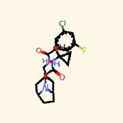 CC1(NC(=O)CN2C3CCC2CC(CNC(=O)c2cc(F)cc(Cl)c2)C3)CC1